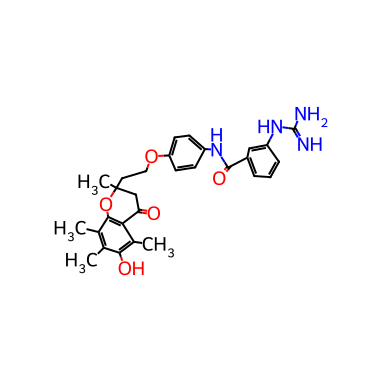 Cc1c(C)c2c(c(C)c1O)C(=O)CC(C)(CCOc1ccc(NC(=O)c3cccc(NC(=N)N)c3)cc1)O2